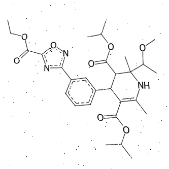 CCOC(=O)c1nc(-c2cccc(C3C(C(=O)OC(C)C)=C(C)NC(C)(C(C)OC)C3C(=O)OC(C)C)c2)no1